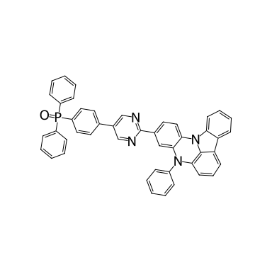 O=P(c1ccccc1)(c1ccccc1)c1ccc(-c2cnc(-c3ccc4c(c3)N(c3ccccc3)c3cccc5c6ccccc6n-4c35)nc2)cc1